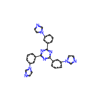 c1cc(-c2nc(-c3cccc(-n4ccnc4)c3)nc(-c3cccc(-n4ccnc4)c3)n2)cc(-n2ccnc2)c1